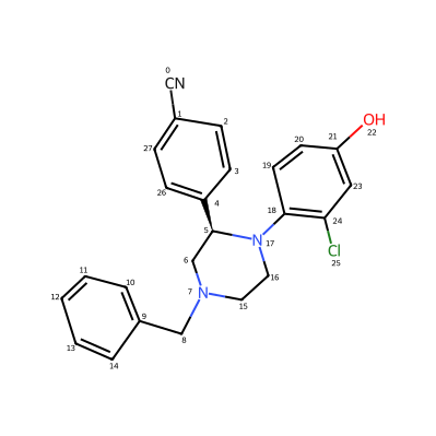 N#Cc1ccc([C@@H]2CN(Cc3ccccc3)CCN2c2ccc(O)cc2Cl)cc1